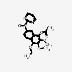 CCOc1c(OC)c(OC)c(OC(C)=O)c2cc([S+]([O-])c3ncccn3)ccc12